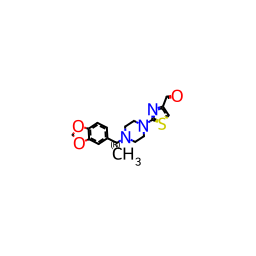 C[C@H](c1ccc2c(c1)OCO2)N1CCN(c2nc(C=O)cs2)CC1